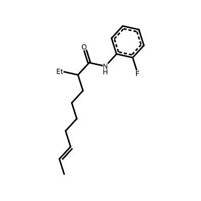 CC=CCCCCC(CC)C(=O)Nc1ccccc1F